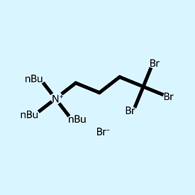 CCCC[N+](CCCC)(CCCC)CCCC(Br)(Br)Br.[Br-]